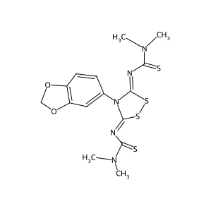 CN(C)C(=S)/N=c1\ss/c(=N\C(=S)N(C)C)n1-c1ccc2c(c1)OCO2